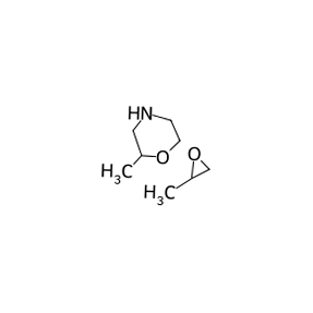 CC1CNCCO1.CC1CO1